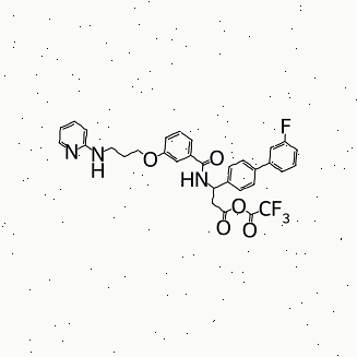 O=C(CC(NC(=O)c1cccc(OCCCNc2ccccn2)c1)c1ccc(-c2cccc(F)c2)cc1)OC(=O)C(F)(F)F